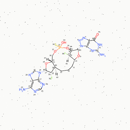 Nc1nc2c(nnn2[C@@H]2OC3CCC[C@H]4[C@H](F)[C@H](n5cnc6c(N)ncnc65)O[C@@H]4COP(O)(=S)O[C@@H]2[C@@H]3F)c(=O)[nH]1